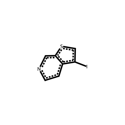 Ic1csc2cnccc12